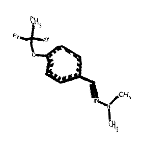 CCC(C)(CC)Oc1ccc(C=NN(C)C)cc1